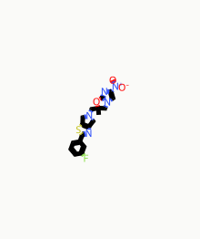 CC1(CN2Cc3nc(-c4cccc(F)c4)sc3C2)Cn2cc([N+](=O)[O-])nc2O1